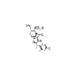 CC(=O)OCC1=C(C(=O)O)N2C(=O)[C@@H](NC(=O)C(C)n3c(C)cc(=O)cc3C)[C@H]2SC1